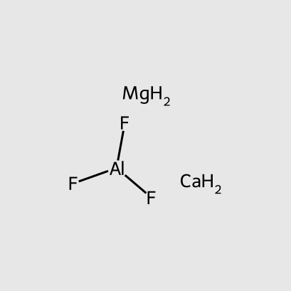 [CaH2].[F][Al]([F])[F].[MgH2]